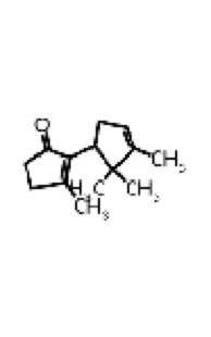 CC1=CCC(C2=C(C)CCC2=O)C1(C)C